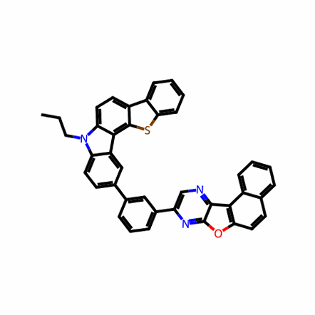 CCCn1c2ccc(-c3cccc(-c4cnc5c(n4)oc4ccc6ccccc6c45)c3)cc2c2c3sc4ccccc4c3ccc21